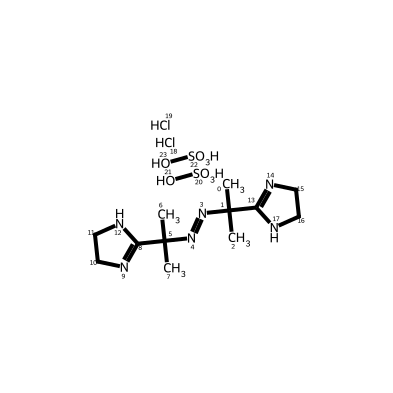 CC(C)(N=NC(C)(C)C1=NCCN1)C1=NCCN1.Cl.Cl.O=S(=O)(O)O.O=S(=O)(O)O